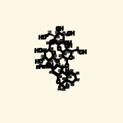 CCCCCc1cc(O[C@@H]2O[C@H](CO)[C@@H](O)[C@H](O[C@@H]3O[C@H](CO)[C@@H](O)[C@H](O)[C@H]3O)[C@H]2O[C@@H]2O[C@H](CO)[C@@H](O)[C@H](O)[C@H]2O)c2c(c1)OC(C)(C)[C@@H]1CCC=C[C@@H]21